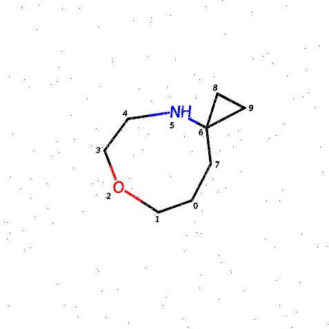 C1COCCNC2(C1)CC2